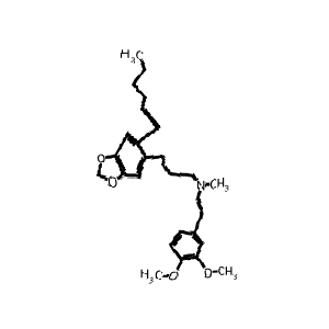 CCCCC=Cc1cc2c(cc1CCCN(C)CCc1ccc(OC)c(OC)c1)OCO2